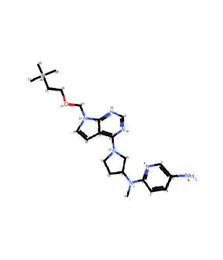 CN(c1ccc(N)cn1)C1CCN(c2ncnc3c2ccn3COCC[Si](C)(C)C)C1